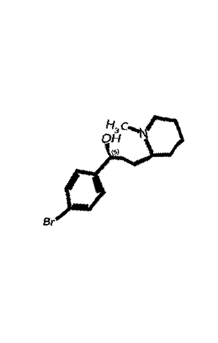 CN1CCCCC1C[C@H](O)c1ccc(Br)cc1